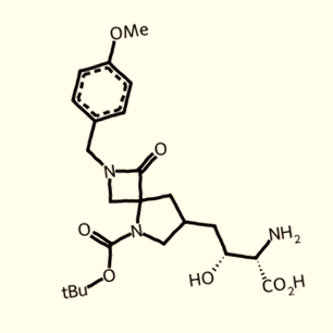 COc1ccc(CN2CC3(CC(C[C@@H](O)[C@H](N)C(=O)O)CN3C(=O)OC(C)(C)C)C2=O)cc1